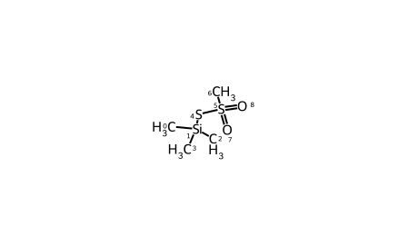 C[Si](C)(C)SS(C)(=O)=O